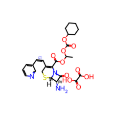 CC(OC(=O)OC1CCCCC1)OC(=O)C1=C(/C=C\c2cccnc2)CS[C@H]2[C@H](N)C(=O)N12.O=C(O)C(=O)O